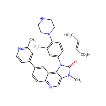 Cc1cc(-c2ccc3ncc4c(c3c2)n(-c2ccc(N3CCNCC3)c(C(F)(F)F)c2)c(=O)n4C)ccn1.O=C(O)C=CC(=O)O